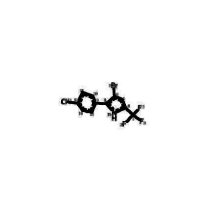 FC(F)(F)c1cc(Br)c(-c2ccc(Cl)cc2)[nH]1